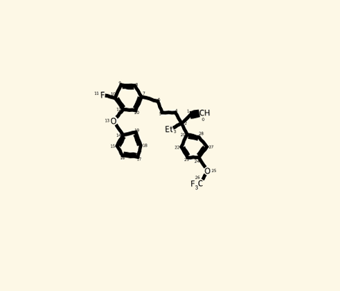 C#CC(CC)(CCCc1ccc(F)c(Oc2ccccc2)c1)c1ccc(OC(F)(F)F)cc1